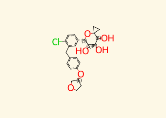 O[C@@H]1[C@H](O)[C@H](c2ccc(Cl)c(Cc3ccc(O[C@H]4CCOC4)cc3)c2)OC2(CC2)[C@H]1O